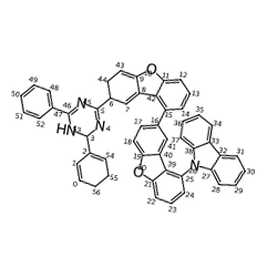 C1=CC(C2N=C(C3C=c4c(oc5cccc(-c6ccc7oc8cccc(-n9c%10ccccc%10c%10ccccc%109)c8c7c6)c45)=CC3)N=C(c3ccccc3)N2)=CCC1